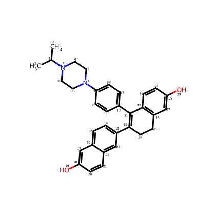 CC(C)N1CCN(c2ccc(C3=C(c4ccc5cc(O)ccc5c4)CCc4cc(O)ccc43)cc2)CC1